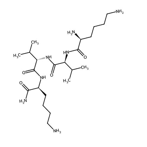 CC(C)[C@H](NC(=O)[C@@H](NC(=O)[C@@H](N)CCCCN)C(C)C)C(=O)N[C@@H](CCCCN)C(N)=O